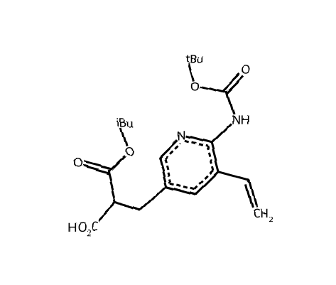 C=Cc1cc(CC(C(=O)O)C(=O)OC(C)CC)cnc1NC(=O)OC(C)(C)C